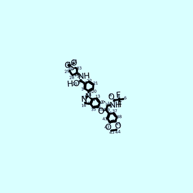 C[C@H](NC(=O)C(C)(F)F)[C@H](Oc1ccc2c(cnn2-c2cccc(C(O)N[C@H]3CCS(=O)(=O)C3)c2)c1)c1ccc2c(c1)OCCO2